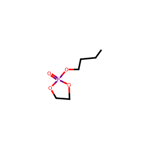 CCCCOP1(=O)OCCO1